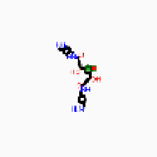 Cl.Cl.NCc1ccc(CNC(=O)C#CC(O)c2cccc(C(O)C#CC(=O)NCc3ccc(CN)cc3)c2)cc1